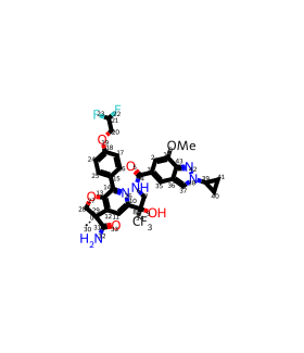 COc1cc(C(=O)NCC(O)(c2cc3c(c(-c4ccc(OCC(F)F)cc4)n2)OC[C@]3(C)C(N)=O)C(F)(F)F)cc2cn(C3CC3)nc12